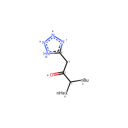 CCCCCCC(CCCC)C(=O)Cc1nnn[nH]1